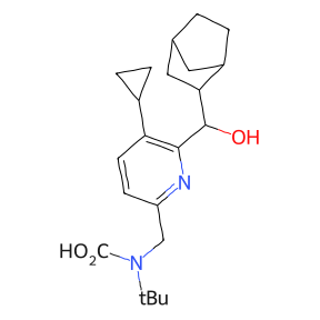 CC(C)(C)N(Cc1ccc(C2CC2)c(C(O)C2CC3CCC2C3)n1)C(=O)O